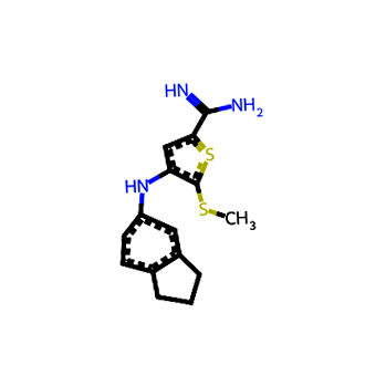 CSc1sc(C(=N)N)cc1Nc1ccc2c(c1)CCC2